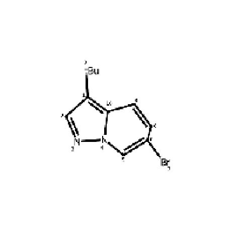 CC(C)(C)c1cnn2cc(Br)ccc12